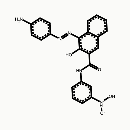 Nc1ccc(N=Nc2c(O)c(C(=O)Nc3cccc([NH+]([O-])O)c3)cc3ccccc23)cc1